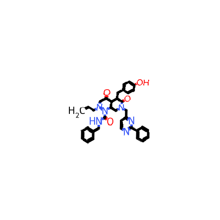 C=CCN1CC(=O)C2C(Cc3ccc(O)cc3)C(=O)N(Cc3ccnc(-c4ccccc4)n3)CC2N1C(=O)NCc1ccccc1